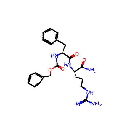 N=C(N)NCCC[C@H](NC(=O)[C@H](Cc1ccccc1)NC(=O)OCc1ccccc1)C(N)=O